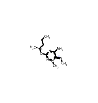 CCC[C@H](C)Oc1nc(N)/c(=N/C)n(C)n1